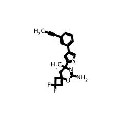 CC#Cc1cccc(-c2csc(C3(C)CC4(CC(F)(F)C4)OC(N)=N3)c2)c1